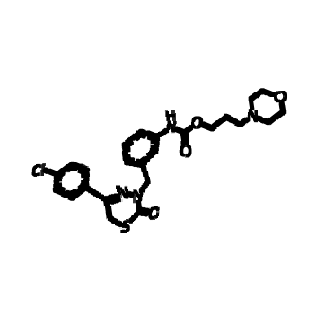 O=C(Nc1cccc(CN2N=C(c3ccc(Cl)cc3)CSC2=O)c1)OCCCN1CCOCC1